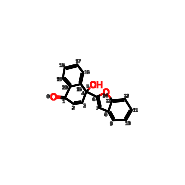 O=C1C=CC(O)(c2cc3ccccc3o2)c2ccccc21